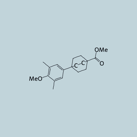 COC(=O)C12CCC(c3cc(C)c(OC)c(C)c3)(CC1)CC2